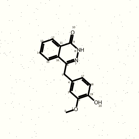 COc1cc(Cc2n[nH]c(=O)c3ccccc23)ccc1O